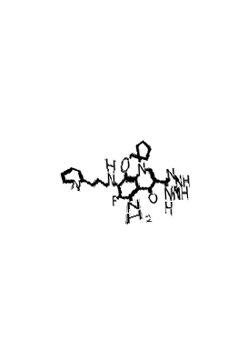 Nc1c(F)c(NCCCc2ccccn2)c2c3c1c(=O)c(C1=NNNN1)cn3C1(CCCC1)CO2